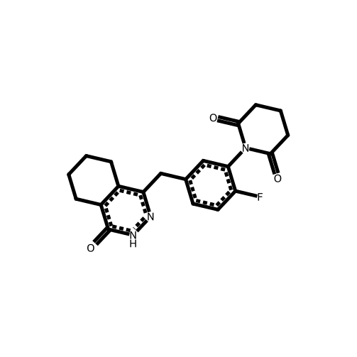 O=C1CCCC(=O)N1c1cc(Cc2n[nH]c(=O)c3c2CCCC3)ccc1F